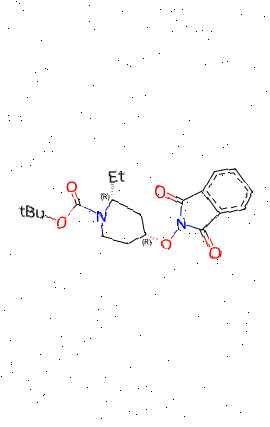 CC[C@@H]1C[C@H](ON2C(=O)c3ccccc3C2=O)CCN1C(=O)OC(C)(C)C